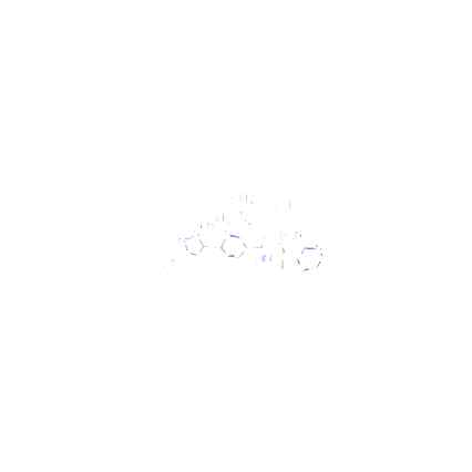 C[C@@H]1CN(c2nc(-c3cc(C(F)(F)F)nn3C)ccc2C(=O)NS(=O)(=O)c2cccnc2N)C(C)(C)C1